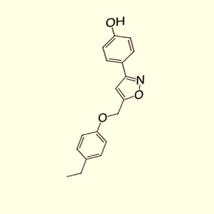 CCc1ccc(OCc2cc(-c3ccc(O)cc3)no2)cc1